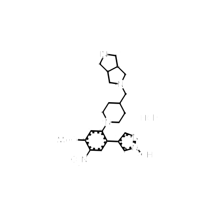 COc1cc(N2CCC(CN3CC4CNCC4C3)CC2)c(-c2cnn(C)c2)cc1[N+](=O)[O-].Cl